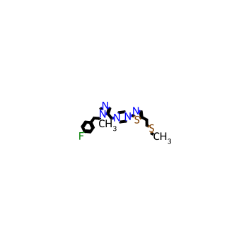 CCSCCc1cnc(N2CCN(Cc3cncn3C(C)Cc3ccc(F)cc3)CC2)s1